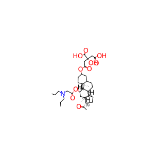 CCCN(CCC)CC(=O)OC1C[C@]2(C)[C@@H](C(C)=O)CC[C@H]2[C@@H]2CCC3CC(OC(=O)CC(O)(CC(=O)O)C(=O)O)CC[C@]3(C)[C@@H]12